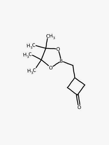 CC1(C)OB(CC2CC(=O)C2)OC1(C)C